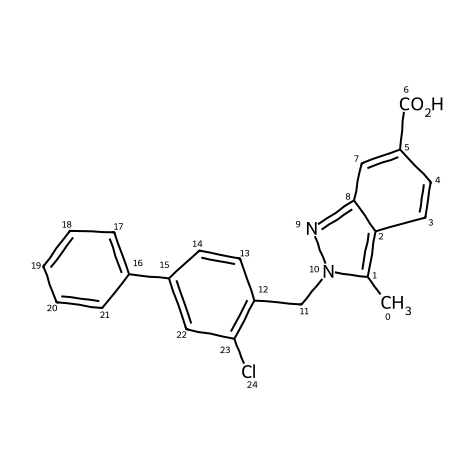 Cc1c2ccc(C(=O)O)cc2nn1Cc1ccc(-c2ccccc2)cc1Cl